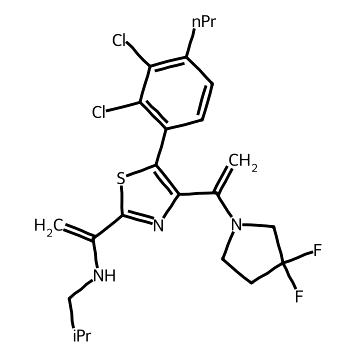 C=C(NCC(C)C)c1nc(C(=C)N2CCC(F)(F)C2)c(-c2ccc(CCC)c(Cl)c2Cl)s1